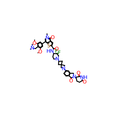 COc1cc(-c2cn(C)c(=O)c3cc(C(=O)NC4CCN(C5CC6(C5)CN(c5ccc7c(c5)CN(C5CCC(=O)NC5=O)C7=O)C6)CC4(F)F)sc23)cc(OC)c1CN(C)C